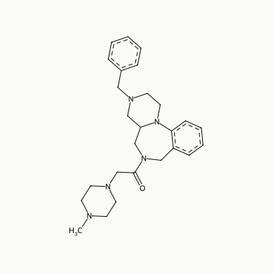 CN1CCN(CC(=O)N2Cc3ccccc3N3CCN(Cc4ccccc4)CC3C2)CC1